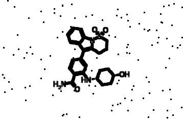 NC(=O)c1ccc(-c2c3n(c4ccccc24)S(=O)(=O)CCC3)cc1N[C@H]1CC[C@H](O)CC1